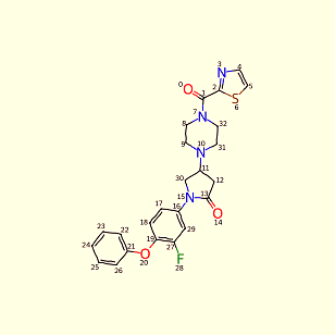 O=C(c1nccs1)N1CCN(C2CC(=O)N(c3ccc(Oc4ccccc4)c(F)c3)C2)CC1